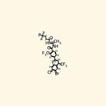 C[C@H](NC(=O)CCC(F)(I)I)NC(=O)c1ccc(/C(F)=C/C(c2ccc(Cl)c(Br)c2)C(F)(F)F)cc1C(F)(F)F